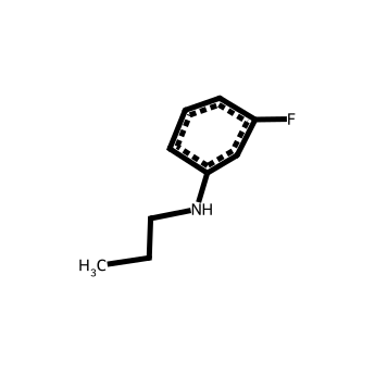 CCCNc1cccc(F)c1